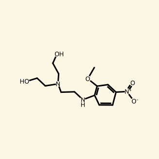 COc1cc([N+](=O)[O-])ccc1NCCN(CCO)CCO